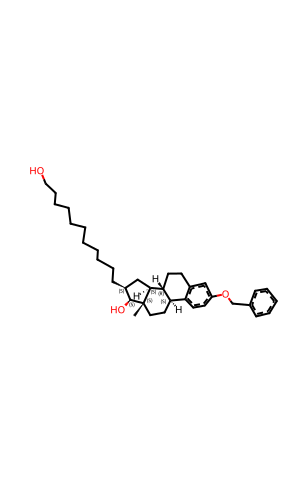 C[C@]12CC[C@@H]3c4ccc(OCc5ccccc5)cc4CC[C@H]3[C@@H]1C[C@H](CCCCCCCCCCCO)[C@@H]2O